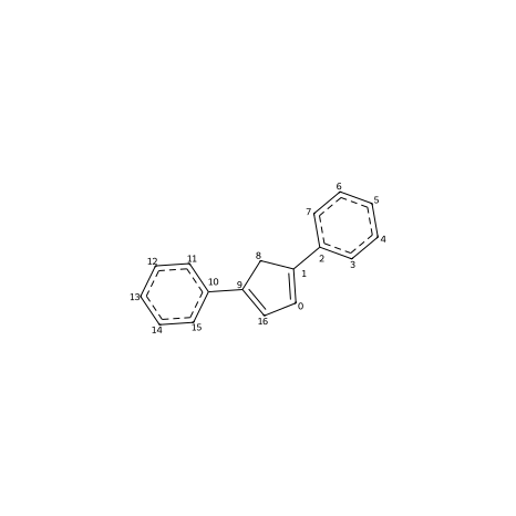 C1=C(c2ccccc2)CC(c2ccccc2)=C1